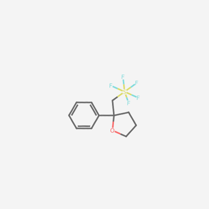 FS(F)(F)(F)(F)CC1(c2ccccc2)CCCO1